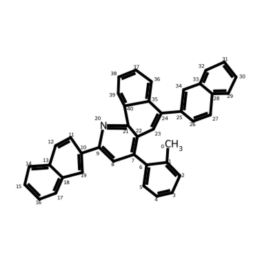 Cc1ccccc1-c1cc(-c2ccc3ccccc3c2)nc2c1cc(-c1ccc3ccccc3c1)c1ccccc12